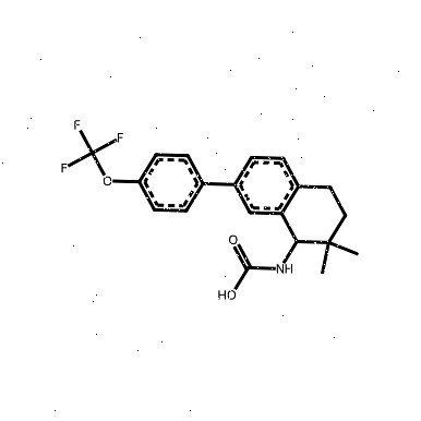 CC1(C)CCc2ccc(-c3ccc(OC(F)(F)F)cc3)cc2C1NC(=O)O